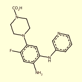 Nc1cc(F)c(N2CCN(C(=O)O)CC2)cc1Nc1cccnc1